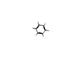 O=C(O)c1c(O)c(O)c(C(=O)O)c(C(=O)O)c1C(=O)O